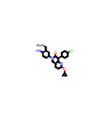 CN/C=C1/C=C(n2cc3ccc(OC4CC4)nc3c(-c3ccc(Cl)cc3)c2=O)C=CC1=N